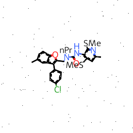 CCCN(Cc1oc2ccc(C)cc2c1-c1ccc(Cl)cc1)C(=O)Nc1c(SC)cc(C)nc1SC